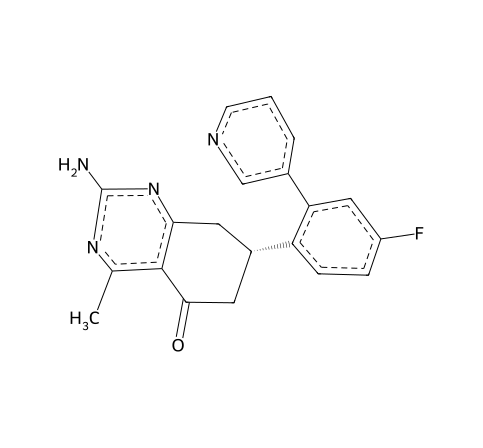 Cc1nc(N)nc2c1C(=O)C[C@@H](c1ccc(F)cc1-c1cccnc1)C2